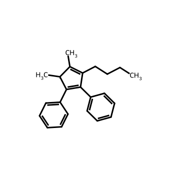 CCCCC1=C(C)[C](C)C(c2ccccc2)=C1c1ccccc1